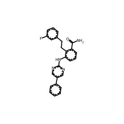 NC(=O)c1cccc(Nc2ncc(-c3ccccc3)cn2)c1CCc1cccc(F)c1